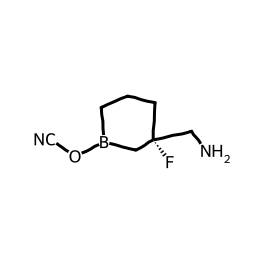 N#COB1CCC[C@@](F)(CN)C1